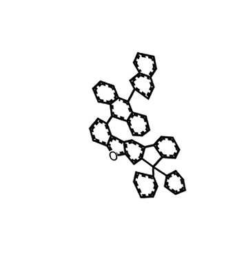 c1ccc(C2(c3ccccc3)c3ccccc3-c3cc4c(cc32)oc2cccc(-c3c5ccccc5c(-c5ccc6ccccc6c5)c5ccccc35)c24)cc1